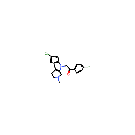 CN1CCc2c(n(CC(=O)c3ccc(Cl)cc3)c3ccc(Cl)cc23)C1